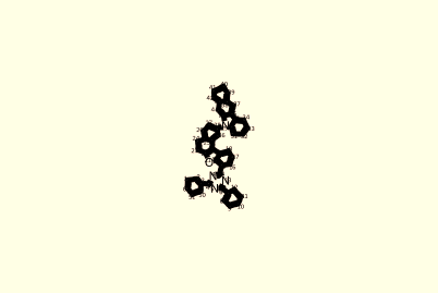 c1ccc(-c2nc(-c3ccccc3)nc(-c3cccc4c3oc3ccc5ccc(-n6c7ccccc7c7cc8ccccc8cc76)cc5c34)n2)cc1